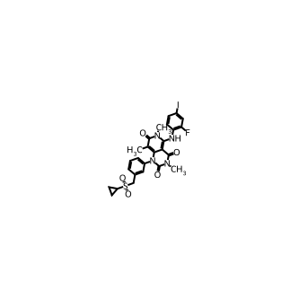 Cc1c(=O)n(C)c(Nc2ccc(I)cc2F)c2c(=O)n(C)c(=O)n(-c3cccc(CS(=O)(=O)C4CC4)c3)c12